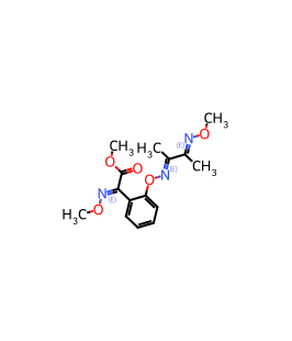 CO/N=C(C)/C(C)=N/Oc1ccccc1/C(=N\OC)C(=O)OC